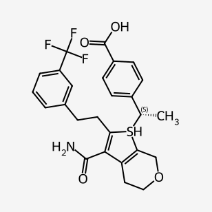 C[C@@H](c1ccc(C(=O)O)cc1)[SH]1C2=C(CCOC2)C(C(N)=O)=C1CCc1cccc(C(F)(F)F)c1